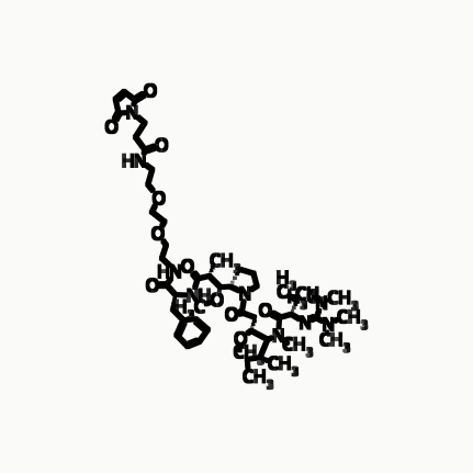 CC[C@H](C)C([C@@H](CC(=O)N1CCC[C@H]1[C@H](OC)[C@@H](C)C(=O)N[C@@H](Cc1ccccc1)C(=O)NCCOCCOCCNC(=O)CCN1C(=O)C=CC1=O)OC)N(C)C(=O)[C@@H](N=C(N(C)C)N(C)C)C(C)C